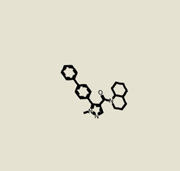 Cn1ncc(C(=O)N2CCCC3CCCCC32)c1-c1ccc(-c2ccccc2)cc1